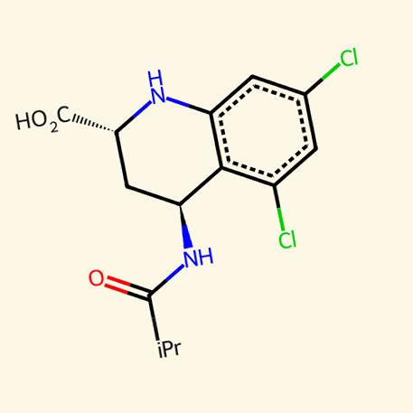 CC(C)C(=O)N[C@H]1C[C@H](C(=O)O)Nc2cc(Cl)cc(Cl)c21